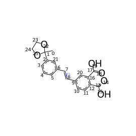 CC1(c2cccc(/C=C/c3ccc(C(=O)O)c(C(=O)O)c3)c2)OCCO1